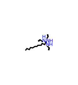 C=CCNC(CCCCCCCCCCC)(NCC=C)NCC=C